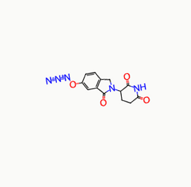 [N-]=[N+]=NOc1ccc2c(c1)C(=O)N(C1CCC(=O)NC1=O)C2